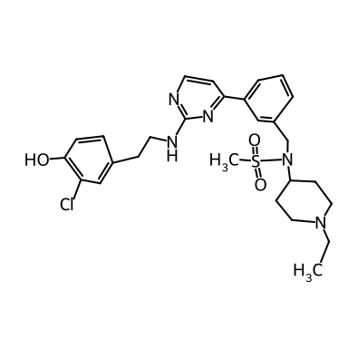 CCN1CCC(N(Cc2cccc(-c3ccnc(NCCc4ccc(O)c(Cl)c4)n3)c2)S(C)(=O)=O)CC1